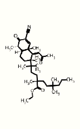 CCCC(C)(C)CC[C@@](C)(CCC(C)(C)[C@]1(C)CC[C@H]2[C@H](C)C(=O)C(C#N)=C[C@]2(C)/C1=C/C(C)=O)C(=O)OCC